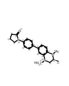 CC(=O)N1c2ccc(-c3ccc(N4CCCC4=O)cc3)cc2N(C(=O)O)C[C@@H]1C